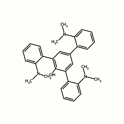 CN(C)c1ccccc1-c1cc(-c2ccccc2N(C)C)c(O)c(-c2ccccc2N(C)C)c1